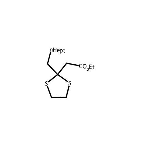 CCCCCCCCC1(CC(=O)OCC)SCCS1